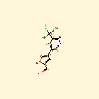 O=Cc1cc(-c2cncc(C(F)(F)F)c2)cs1